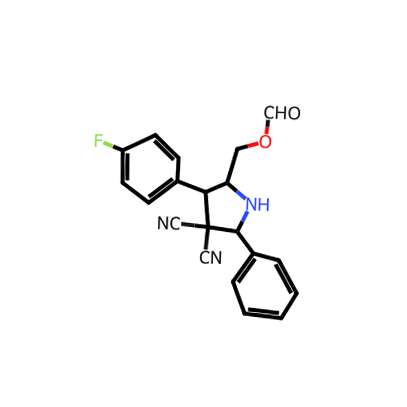 N#CC1(C#N)C(c2ccccc2)NC(COC=O)C1c1ccc(F)cc1